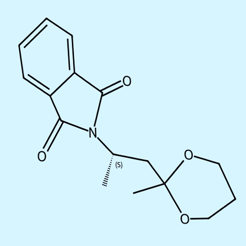 C[C@@H](CC1(C)OCCCO1)N1C(=O)c2ccccc2C1=O